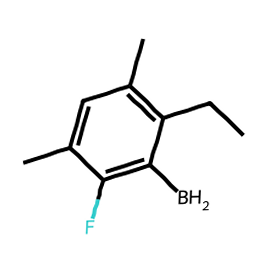 Bc1c(F)c(C)cc(C)c1CC